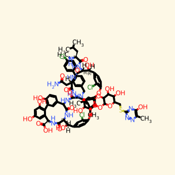 CN[C@@H](CC(C)C)C(=O)N[C@H]1C(=O)N[C@@H](CC(N)=O)C(=O)NC2C(=O)NC3C(=O)N[C@H](C(=O)N[C@@H](C(=O)O)c4cc(O)cc(O)c4-c4cc3ccc4O)[C@H](O)c3ccc(c(Cl)c3)Oc3cc2cc(c3OC2OC(CSc3nnc(C)c(O)n3)C(O)C(O)C2OC2CC(C)(NCc3ccc(-c4ccc(Cl)cc4)cc3)C(O)C(C)O2)Oc2ccc(cc2Cl)[C@H]1O